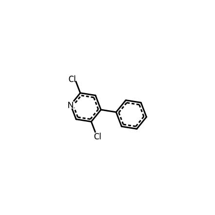 Clc1cc(-c2ccccc2)c(Cl)cn1